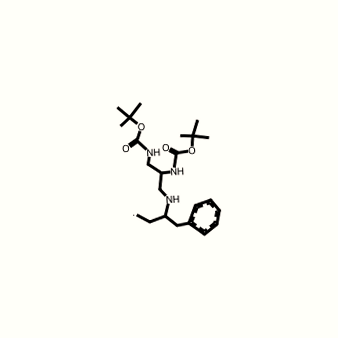 [CH2]CC(Cc1ccccc1)NCC(CNC(=O)OC(C)(C)C)NC(=O)OC(C)(C)C